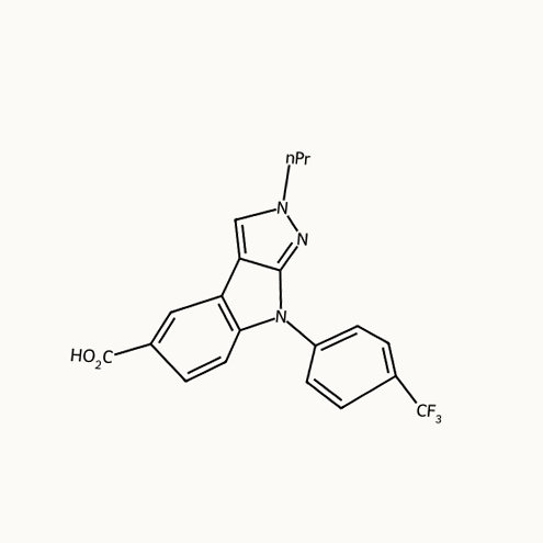 CCCn1cc2c3cc(C(=O)O)ccc3n(-c3ccc(C(F)(F)F)cc3)c2n1